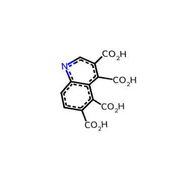 O=C(O)c1ccc2ncc(C(=O)O)c(C(=O)O)c2c1C(=O)O